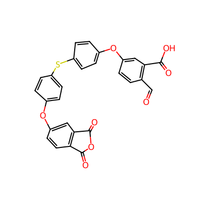 O=Cc1ccc(Oc2ccc(Sc3ccc(Oc4ccc5c(c4)C(=O)OC5=O)cc3)cc2)cc1C(=O)O